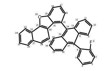 Fc1ccccc1-c1c2ccccc2c(-c2cccc3oc4c5ccccc5ccc4c23)c2ccccc12